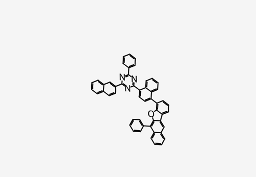 c1ccc(-c2nc(-c3ccc4ccccc4c3)nc(-c3ccc(-c4cccc5c4oc4c(-c6ccccc6)c6ccccc6cc45)c4ccccc34)n2)cc1